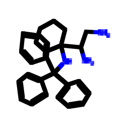 NCC(N)C1(NC(c2ccccc2)(c2ccccc2)c2ccccc2)CCCCC1